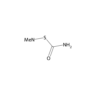 CNSC(N)=O